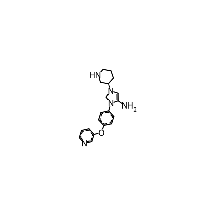 NC1=CN([C@@H]2CCCNC2)CN1c1ccc(Oc2cccnc2)cc1